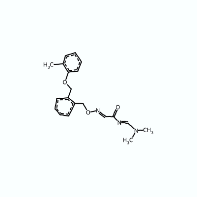 Cc1ccccc1OCc1ccccc1CON=CC(=O)N=CN(C)C